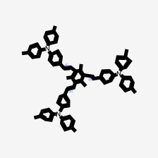 Cc1ccc(N(c2ccc(C)cc2)c2ccc(/C=C/c3c(C)c(/C=C/c4ccc(N(c5ccc(C)cc5)c5ccc(C)cc5)cc4)c(C)c(/C=C/c4ccc(N(c5ccc(C)cc5)c5ccc(C)cc5)cc4)c3C)cc2)cc1